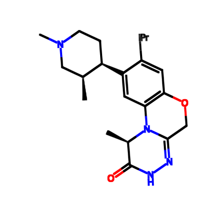 CC(C)c1cc2c(cc1[C@@H]1CCN(C)C[C@@H]1C)N1C(=NNC(=O)[C@H]1C)CO2